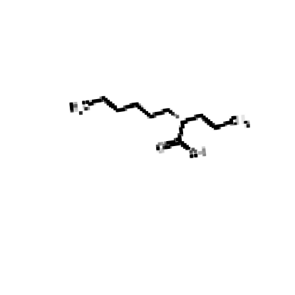 CCCCCC[C@H](CCC)C(=O)O